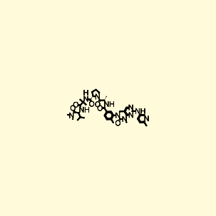 Cc1ccc(Nc2ncc3c(n2)N(C)C(=O)N(c2cc(C(=O)N[C@@H](C)C(=O)N4CCC[C@H]4C(=O)NC(C)(C)C(=O)N[C@H](C(=O)N(C)C)C(C)C)ccc2C)C3)cn1